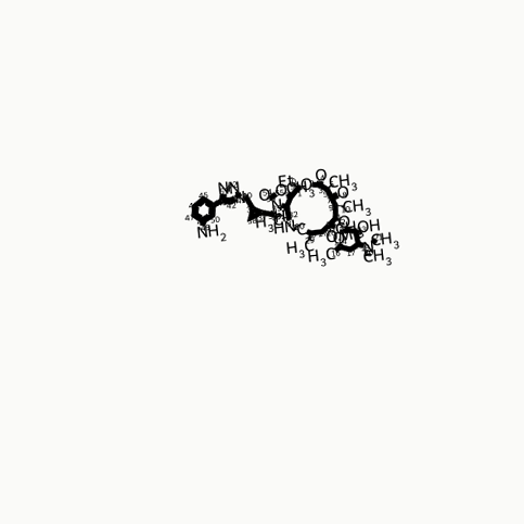 CC[C@H]1OC(=O)[C@H](C)C(=O)[C@H](C)[C@@H](O[C@@H]2OC(C)CC(N(C)C)C2O)[C@](C)(OC)C[C@@H](C)CN[C@H](C)[C@H]2N(CC3CC3Cn3cc(-c4cccc(N)c4)nn3)C(=O)O[C@]12C